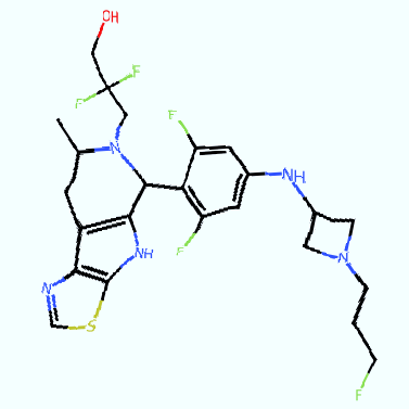 CC1Cc2c([nH]c3scnc23)C(c2c(F)cc(NC3CN(CCCF)C3)cc2F)N1CC(F)(F)CO